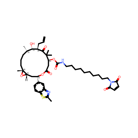 C=CC[C@H]1C(=O)C(C)(C)[C@@H](OC(=O)NCCCCCCCCCCN2C(=O)C=CC2=O)CC(=O)O[C@H](c2ccc3sc(C)nc3c2)C[C@@H]2O[C@]2(C)CCC[C@H](C)[C@@H]1O